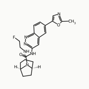 Cc1ncc(-c2ccc3nnc(NC(=O)N4[C@@H]5CC[C@H]4C[C@H](NCCF)C5)cc3c2)o1